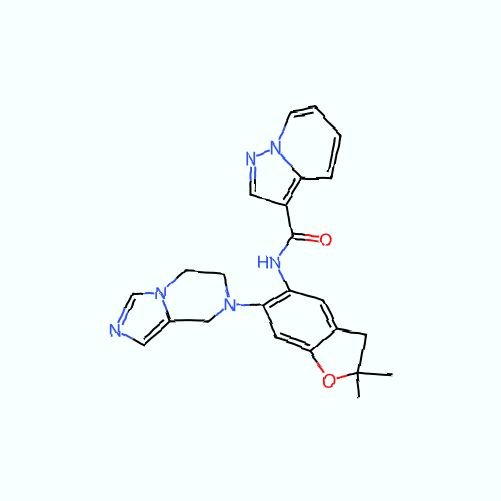 CC1(C)Cc2cc(NC(=O)c3cnn4ccccc34)c(N3CCn4cncc4C3)cc2O1